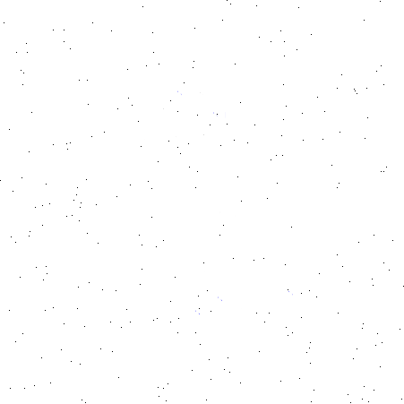 COCCC1(Oc2ccc(Oc3ccc4nn(-c5cccnc5)cc4c3)cc2)C(=O)NC(=O)NC1=O